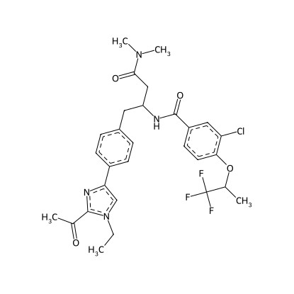 CCn1cc(-c2ccc(CC(CC(=O)N(C)C)NC(=O)c3ccc(OC(C)C(F)(F)F)c(Cl)c3)cc2)nc1C(C)=O